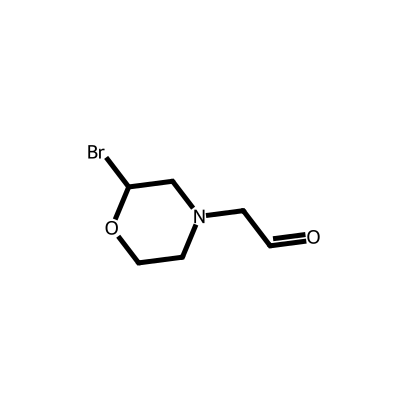 O=CCN1CCOC(Br)C1